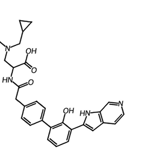 CN(CC1CC1)CC(NC(=O)Cc1ccc(-c2cccc(-c3cc4ccncc4[nH]3)c2O)cc1)C(=O)O